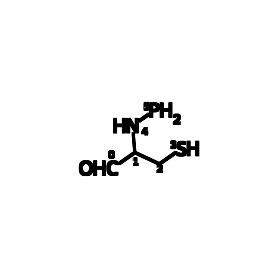 O=CC(CS)NP